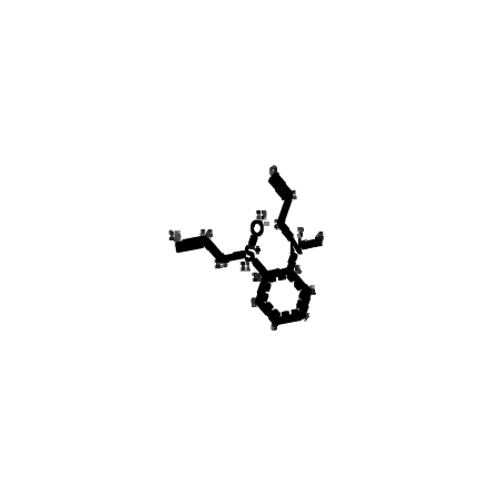 C=CCN(C)c1ccccc1[S+]([O-])CC=C